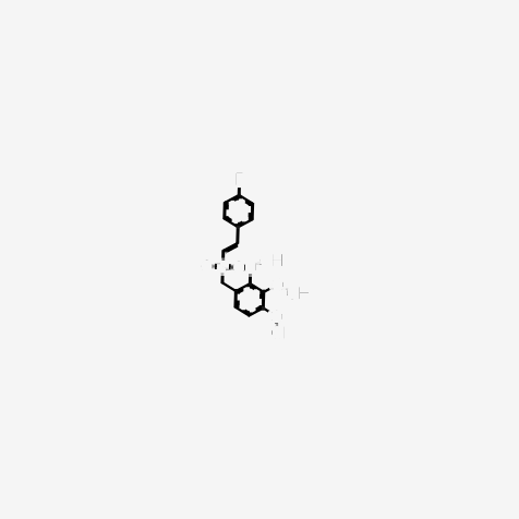 COc1ccc(CS(=O)(=O)C=Cc2ccc(F)cc2)c(OC)c1OC